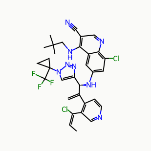 C=C(c1ccncc1/C(Cl)=C\C)[C@H](Nc1cc(Cl)c2ncc(C#N)c(NCC(C)(C)C)c2c1)c1cn(C2(C(F)(F)F)CC2)nn1